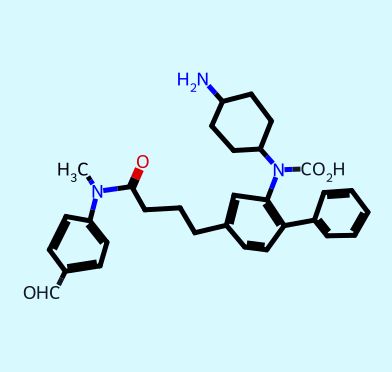 CN(C(=O)CCCc1ccc(-c2ccccc2)c(N(C(=O)O)C2CCC(N)CC2)c1)c1ccc(C=O)cc1